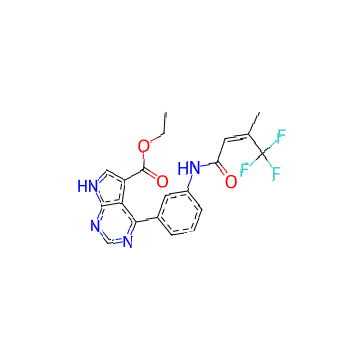 CCOC(=O)c1c[nH]c2ncnc(-c3cccc(NC(=O)C=C(C)C(F)(F)F)c3)c12